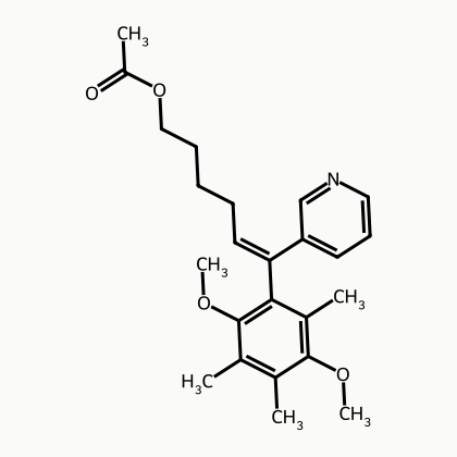 COc1c(C)c(C)c(OC)c(C(=CCCCCOC(C)=O)c2cccnc2)c1C